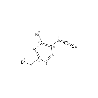 S=C=Nc1ccc(CBr)cc1Br